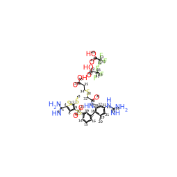 CSc1sc(C(=N)N)cc1S(=O)(=O)c1cccc(-c2c(C)cc(NC(=N)N)cc2NC(=O)CSCCC(=O)O)c1.O=C(O)C(F)(F)F.O=C(O)C(F)(F)F